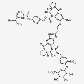 COc1cc2c(cc1OCCCOc1cc3c(cc1OC)C(=O)N1CCC[C@H]1[C@H](O)N3C(=O)OCc1ccc(O[C@@H]3O[C@H](C(=O)O)[C@@H](O)[C@H](O)[C@H]3O)c([N+](=O)[O-])c1)N(C(=O)OCc1ccc(NC(=O)[C@H](C)NC(=O)[C@@H](N)C(C)C)cc1)[C@@H](O)[C@@H]1CCCN1C2=O